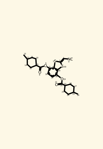 [C-]#[N+]C=C1Sc2c(OC(=O)C3CCC(C)CC3)ccc(OC(=O)C3CCC(C)CC3)c2S1